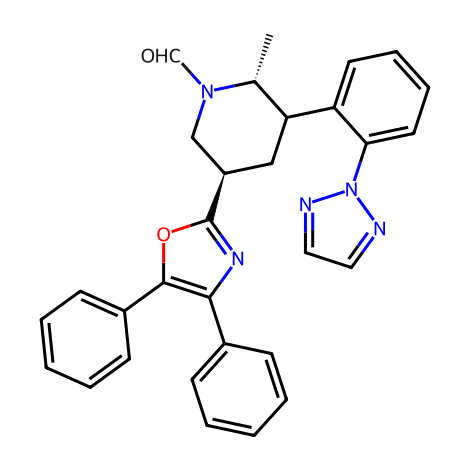 C[C@@H]1C(c2ccccc2-n2nccn2)C[C@@H](c2nc(-c3ccccc3)c(-c3ccccc3)o2)CN1C=O